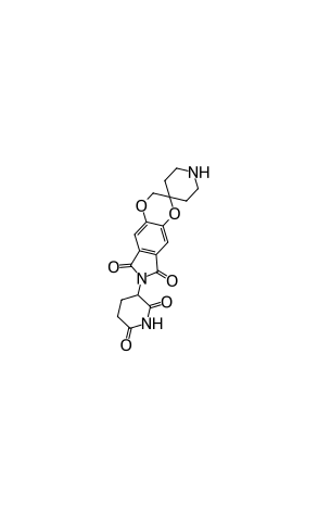 O=C1CCC(N2C(=O)c3cc4c(cc3C2=O)OC2(CCNCC2)CO4)C(=O)N1